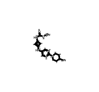 CC(C)C1CCN(c2ncc(NC34CC(NC(=O)OC(C)(C)C)(C3)C4)cn2)CC1